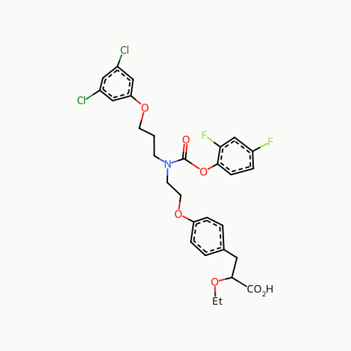 CCOC(Cc1ccc(OCCN(CCCOc2cc(Cl)cc(Cl)c2)C(=O)Oc2ccc(F)cc2F)cc1)C(=O)O